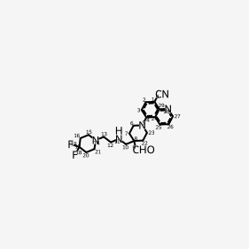 N#Cc1ccc(N2CCC(C=O)(CNCCN3CCC(F)(F)CC3)CC2)c2cccnc12